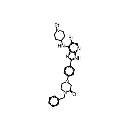 CCN1CCC(Nc2c(Br)cnc3[nH]c(-c4ccc(N5CCN(Cc6ccccc6)C(=O)C5)cc4)nc23)CC1